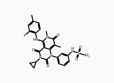 Cc1ccc(Nc2c3c(=O)n(C4CC4)c(=O)n(-c4cccc(NS(N)(=O)=O)c4)c3c(C)c(=O)n2C)c(F)c1